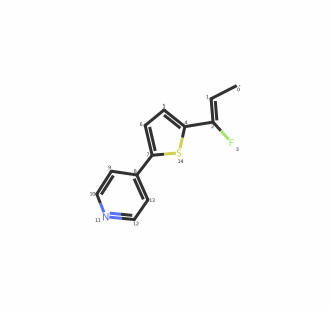 [CH2]/C=C(\F)c1ccc(-c2ccncc2)s1